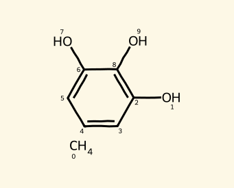 C.Oc1cccc(O)c1O